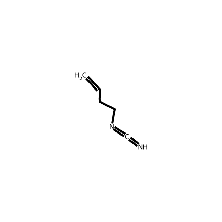 C=CCCN=C=N